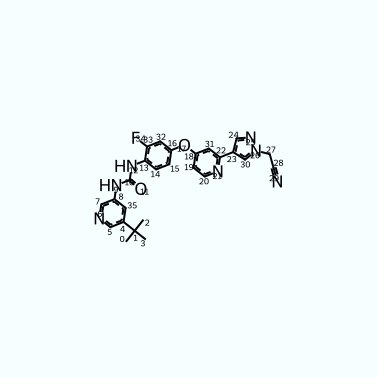 CC(C)(C)c1cncc(NC(=O)Nc2ccc(Oc3ccnc(-c4cnn(CC#N)c4)c3)cc2F)c1